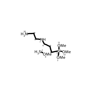 CO[SiH3].CO[Si](CCCNCCN)(OC)OC